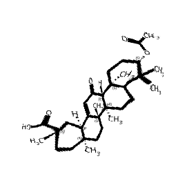 CC(=O)O[C@H]1CC[C@@]2(C)C(CC[C@]3(C)[C@@H]2C(=O)C=C2[C@@H]4C[C@@](C)(C(=O)O)CC[C@]4(C)CC[C@]23C)C1(C)C